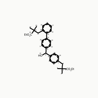 CCOC(=O)C(C)(C)Cc1ccc(C(O)c2ccc(-c3ccccc3CC(C)(C)C(=O)OCC)cc2)cc1